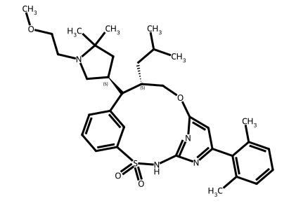 COCCN1C[C@H](C2c3cccc(c3)S(=O)(=O)Nc3nc(cc(-c4c(C)cccc4C)n3)OC[C@H]2CC(C)C)CC1(C)C